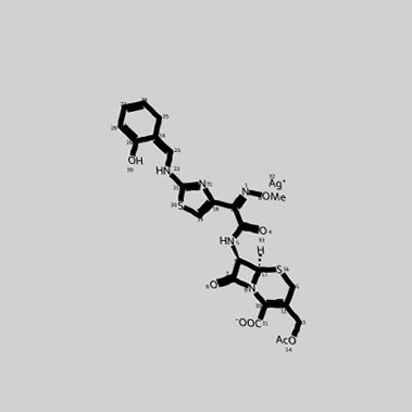 CO/N=C(\C(=O)N[C@@H]1C(=O)N2C(C(=O)[O-])=C(COC(C)=O)CS[C@H]12)c1csc(N/C=C2/CC=CC=C2O)n1.[Ag+]